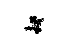 CCOc1ccc2cc(C(=O)c3cn(C(c4ccccc4)(c4ccccc4)c4ccccc4)cn3)ccc2c1.CCOc1ccc2cc(C(O)(c3cn(C(c4ccccc4)(c4ccccc4)c4ccccc4)cn3)C(C)C)ccc2c1